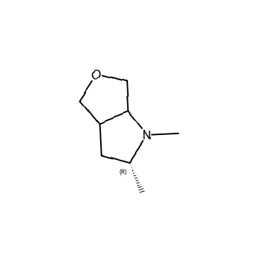 C[C@@H]1CC2COCC2N1C